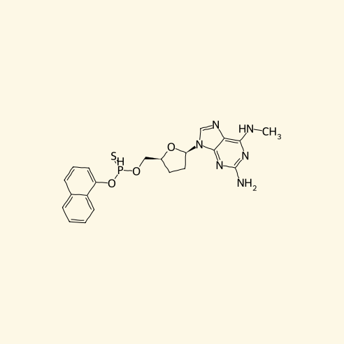 CNc1nc(N)nc2c1ncn2[C@H]1CC[C@@H](CO[PH](=S)Oc2cccc3ccccc23)O1